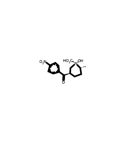 C[C@@H]1CC[C@@H](C(=O)c2ccc([N+](=O)[O-])cc2)C[N@+]1(O)C(=O)O